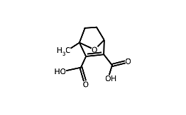 CC12CCC(O1)C(C(=O)O)=C2C(=O)O